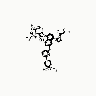 C=CC(=O)N1CC[C@@H]1c1ccc(N2C[C@H](N(C(C)C)S(C)(=O)=O)[C@H]2C)c2cnc(Nc3ccnc(N4CCC(C)(O)CC4)n3)cc12